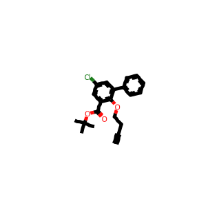 C#CCCOc1c(C(=O)OC(C)(C)C)cc(Cl)cc1-c1ccccc1